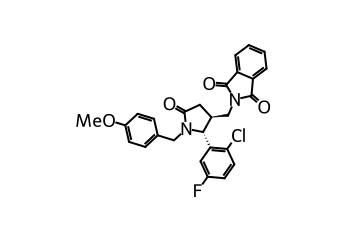 COc1ccc(CN2C(=O)C[C@@H](CN3C(=O)c4ccccc4C3=O)[C@@H]2c2cc(F)ccc2Cl)cc1